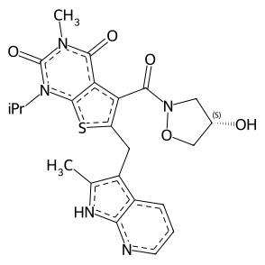 Cc1[nH]c2ncccc2c1Cc1sc2c(c1C(=O)N1C[C@H](O)CO1)c(=O)n(C)c(=O)n2C(C)C